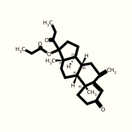 C=C1C[C@@H]2[C@@H](CC[C@@]3(C)[C@H]2CCC3(OC(=O)CC)C(=O)CC)[C@@]2(C)CCC(=O)C=C12